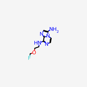 Nc1cnc2c(NCCOCF)nccn12